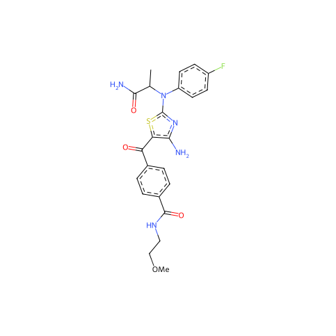 COCCNC(=O)c1ccc(C(=O)c2sc(N(c3ccc(F)cc3)C(C)C(N)=O)nc2N)cc1